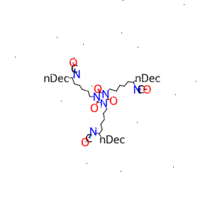 CCCCCCCCCCC(CCCCCn1c(=O)n(CCCCCC(CCCCCCCCCC)N=C=O)c(=O)n(CCCCCC(CCCCCCCCCC)N=C=O)c1=O)N=C=O